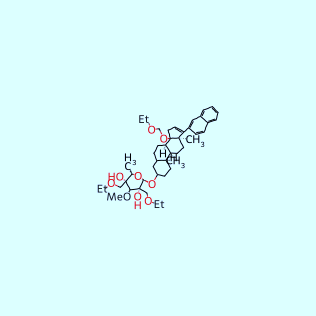 CCOCO[C@@]12CC=C(c3ccc4ccccc4c3)[C@@]1(C)CC[C@@H]1[C@H]2CCC2CC(O[C@@H]3O[C@H](C)[C@](O)(COCC)[C@H](OC)[C@]3(O)COCC)CC[C@@]21C